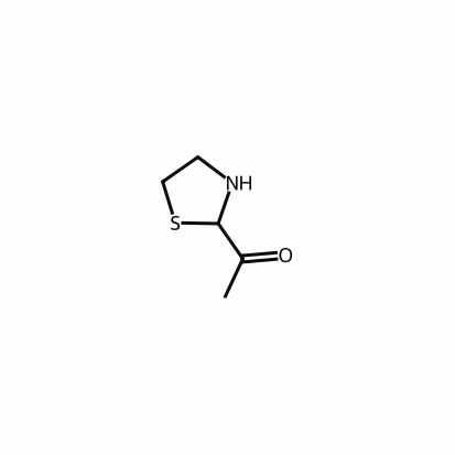 CC(=O)C1NCCS1